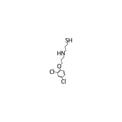 SCCCNCCCOc1ccc(Cl)cc1Cl